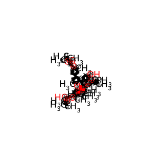 Cc1cc(-c2cc(C)c(OCC(=O)OC(C)(C)C)c(C(c3ccc(O)cc3)c3cc(-c4ccc(OCC(O)OC(C)(C)C)c(C)c4)cc(C)c3OCC(=O)CC(C)(C)C)c2)ccc1OCC(=O)OC(C)(C)C